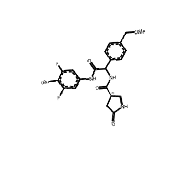 COCc1ccc(C(NC(=O)[C@H]2CNC(=O)C2)C(=O)Nc2cc(F)c(C(C)(C)C)c(F)c2)cc1